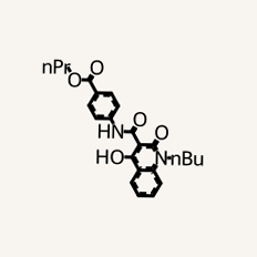 CCCCn1c(=O)c(C(=O)Nc2ccc(C(=O)OCCC)cc2)c(O)c2ccccc21